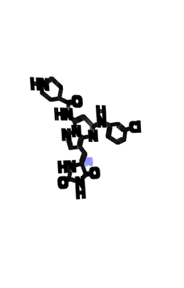 O=C1NC(=O)/C(=C/c2cnn3c(NC(=O)C4CCNCC4)cc(Nc4cccc(Cl)c4)nc23)N1